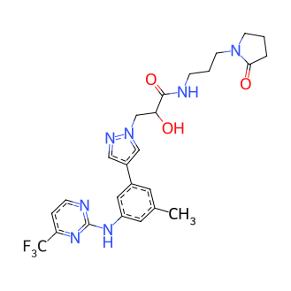 Cc1cc(Nc2nccc(C(F)(F)F)n2)cc(-c2cnn(CC(O)C(=O)NCCCN3CCCC3=O)c2)c1